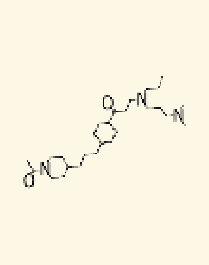 CCCN(CCCN(C)C)CCC(=O)C1CCC(CCCC2CCN(C(C)=O)CC2)CC1